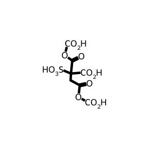 O=C(O)OC(=O)CC(C(=O)O)(C(=O)OC(=O)O)S(=O)(=O)O